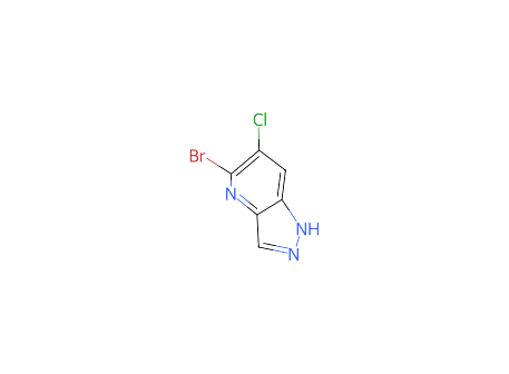 Clc1cc2[nH]ncc2nc1Br